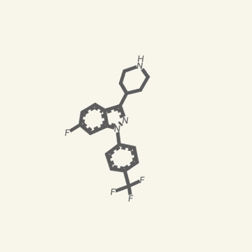 Fc1ccc2c(C3CCNCC3)nn(-c3ccc(C(F)(F)F)cc3)c2c1